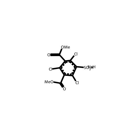 COC(=O)c1c(Cl)c(C(=O)OC)c(Cl)c(S(=O)(=O)O)c1Cl.[NaH]